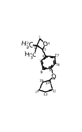 CC1(C)COC1c1ccc(OC2CCCC2)cc1